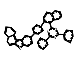 C1=CC2=c3c(oc4ccc(-c5ccc(-c6ccc7ccccc7c6-c6nc(-c7ccccc7)nc(-c7ccccc7)n6)cc5)cc34)=CCC2C=C1